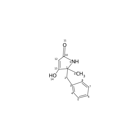 CC1(Cc2ccccc2)NC(=O)C=C1O